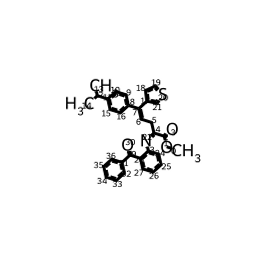 COC(=O)C(CC=C(c1ccc(C(C)C)cc1)c1ccsc1)=Nc1ccccc1C(=O)c1ccccc1